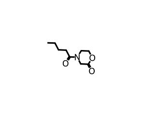 CCCCC(=O)N1CCOC(=O)C1